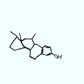 CC1CC2(C)C(C)CCC2C2CCc3cc(O)ccc3C12